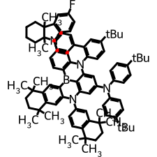 CC(C)(C)c1ccc(N(c2ccc(C(C)(C)C)cc2)c2cc3c4c(c2)N(c2ccc(C(C)(C)C)cc2-c2ccccc2)c2cc(N5c6ccc(F)cc6C6(C)CCCCC56C)ccc2B4c2cc4c(cc2N3c2ccc3c(c2)C(C)(C)CCC3(C)C)C(C)(C)CCC4(C)C)cc1